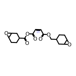 O=C(/C=C\C(=O)OC(=O)C1CCC2OC2C1)OCC1CCC2OC2C1